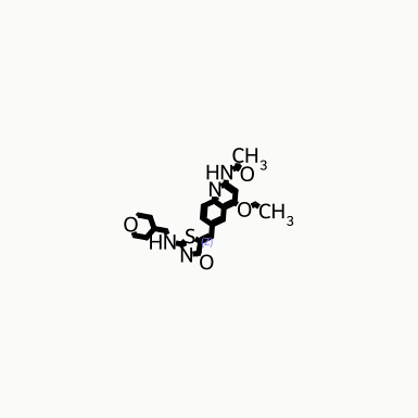 CCOc1cc(NC(C)=O)nc2ccc(/C=C3\SC(NCC4CCOCC4)=NC3=O)cc12